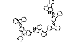 c1ccc(-n2c3ccc(-c4cc5c6c(cccc6n4)-c4c(-c6ccc7c(c6)c6ccccc6n7-c6ccc7c(c6)c6ccccc6n7-c6cc7c8c(cccc8n6)-c6ccccc6-7)cccc4-5)cc3c3cc(-n4c5ccccc5c5ccccc54)ccc32)cc1